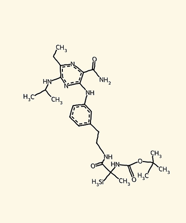 CCc1nc(C(N)=O)c(Nc2cccc(CCNC(=O)C(C)([SiH3])NC(=O)OC(C)(C)C)c2)nc1NC(C)C